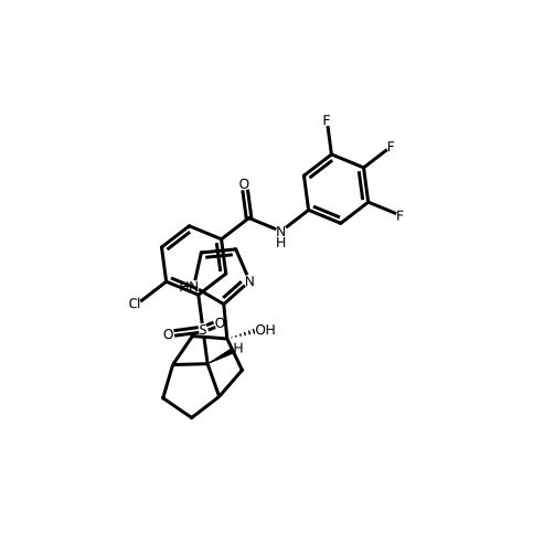 O=C(Nc1cc(F)c(F)c(F)c1)c1ccc(Cl)c(S(=O)(=O)[C@H]2C3CCC2C[C@](O)(c2ncc[nH]2)C3)c1